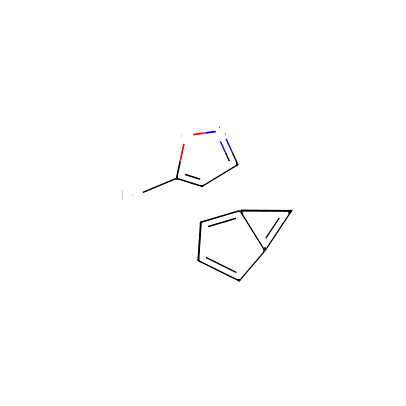 Cc1ccno1.c1cc2cc-2c1